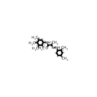 C/C(=N\Nc1ccc(C)cc1C)C(=O)Nc1cc(C)c(C)c(C)c1C